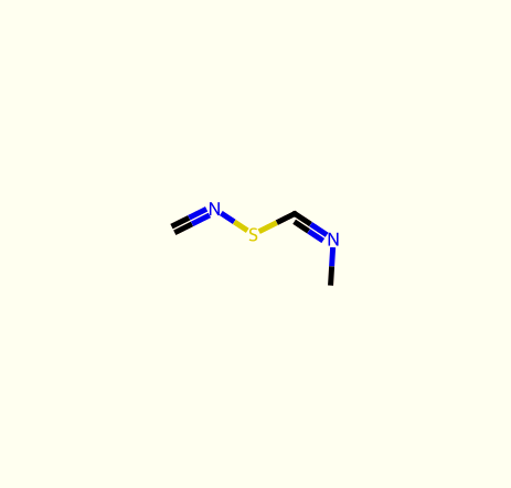 C=NS/C=N\C